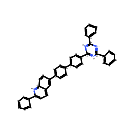 c1ccc(-c2ccc3cc(-c4ccc(-c5ccc(-c6nc(-c7ccccc7)nc(-c7ccccc7)n6)cc5)cc4)ccc3n2)cc1